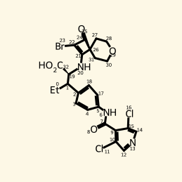 CCC(c1ccc(NC(=O)c2c(Cl)cncc2Cl)cc1)[C@H](NC1=C(Br)C(=O)C12CCOCC2)C(=O)O